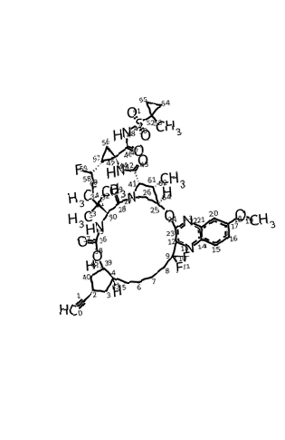 C#C[C@@H]1C[C@H]2CCCCC(F)(F)c3nc4ccc(OC)cc4nc3O[C@H]3CN(C(=O)[C@H](C(C)(C)C)NC(=O)O[C@@H]2C1)[C@H](C(=O)N[C@]1(C(=O)NS(=O)(=O)C2(C)CC2)C[C@H]1C(F)F)[C@@H]3C